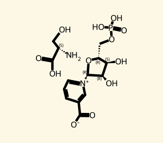 N[C@@H](CO)C(=O)O.O=C([O-])c1ccc[n+]([C@@H]2O[C@H](COP(=O)(O)O)[C@@H](O)[C@H]2O)c1